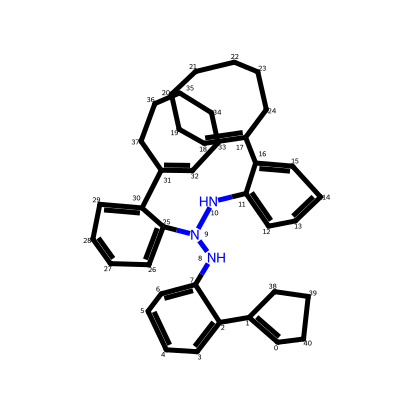 C1=C(c2ccccc2NN(Nc2ccccc2C2=CCCCCCC2)c2ccccc2C2=CCCCCC2)CCC1